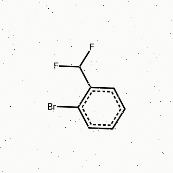 FC(F)c1cc[c]cc1Br